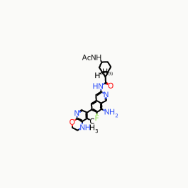 CC(=O)NC1CC[C@@H]2C(C(=O)Nc3cc4cc(-c5cnc6c(c5C)NCCO6)c(F)c(N)c4cn3)[C@@H]2C1